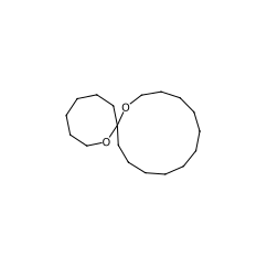 C1CCCCCOC2(CCCCC1)CCCCCCO2